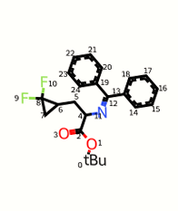 CC(C)(C)OC(=O)C(CC1CC1(F)F)N=C(c1ccccc1)c1ccccc1